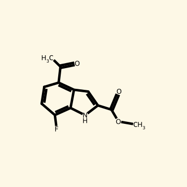 COC(=O)c1cc2c(C(C)=O)ccc(F)c2[nH]1